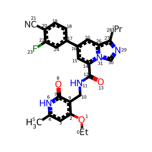 CCOc1cc(C)[nH]c(=O)c1CNC(=O)c1cc(-c2ccc(C#N)c(F)c2)cc2c(C(C)C)ncn12